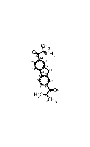 C=C(C)C(=O)c1ccc2c(c1)Cc1cc(C(=O)C(=C)C)ccc1-2